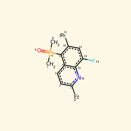 CCc1ccc2c(P(C)(C)=O)c(C(C)C)cc(F)c2n1